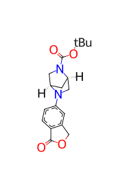 CC(C)(C)OC(=O)N1C[C@H]2C[C@@H]1CN2c1ccc2c(c1)COC2=O